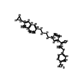 O=C(NCc1ccc(C(F)(F)F)nc1)c1cn(CCCCc2cc3cc(C4CC4)[nH]c3nn2)nn1